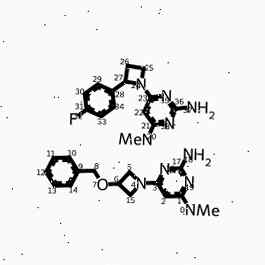 CNc1cc(N2CC(OCc3ccccc3)C2)nc(N)n1.CNc1cc(N2CCC2c2ccc(F)cc2)nc(N)n1